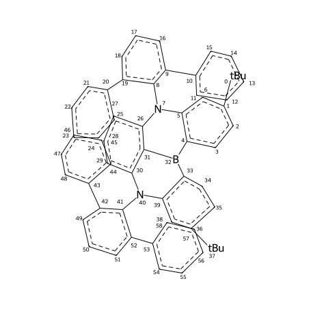 CC(C)(C)c1ccc2c(c1)N(c1c(-c3ccccc3)cccc1-c1ccccc1)c1cccc3c1B2c1ccc(C(C)(C)C)cc1N3c1c(-c2ccccc2)cccc1-c1ccccc1